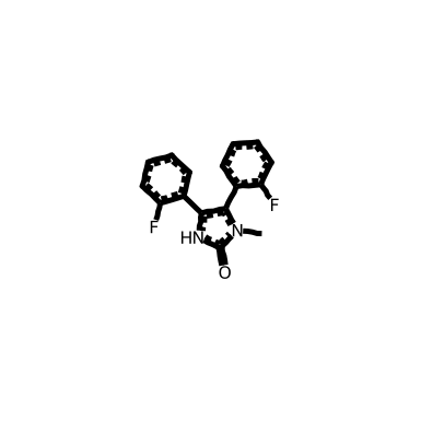 Cn1c(-c2ccccc2F)c(-c2ccccc2F)[nH]c1=O